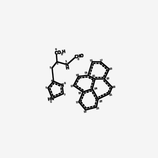 O=CNC(Cc1c[nH]cn1)C(=O)O.c1cc2ccc3cccc4ccc(c1)c2c34